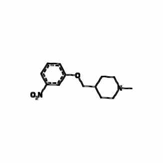 CN1CCC(COc2cccc([N+](=O)[O-])c2)CC1